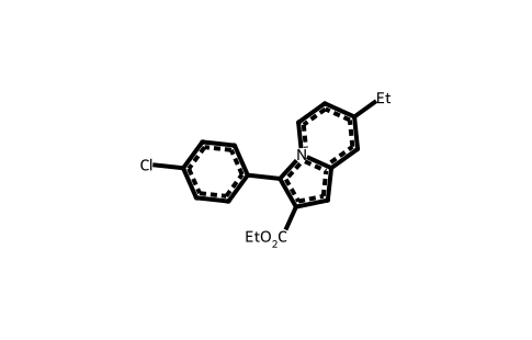 CCOC(=O)c1cc2cc(CC)ccn2c1-c1ccc(Cl)cc1